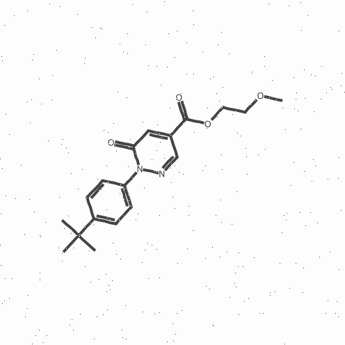 COCCOC(=O)c1cnn(-c2ccc(C(C)(C)C)cc2)c(=O)c1